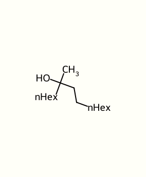 CCCCCCCCC(C)(O)CCCCCC